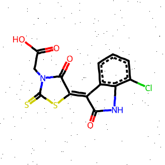 O=C(O)CN1C(=O)/C(=C2/C(=O)Nc3c(Cl)cccc32)SC1=S